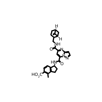 C=C1[C@H]2CCC(CNC(=O)c3cc(C(=O)N[C@H]4CCc5c4ccc(C(=O)O)c5C)n4nccc4n3)[C@@H]1C2